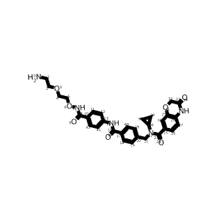 NCCOCCONC(=O)c1ccc(NC(=O)c2ccc(CN(C(=O)c3ccc4c(c3)OCC(=O)N4)C3CC3)cc2)cc1